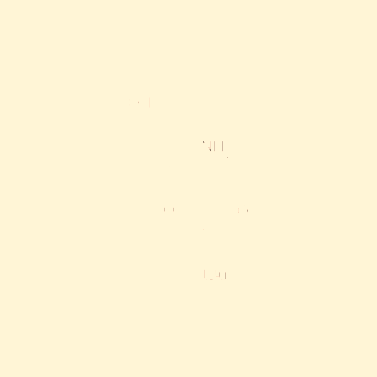 CC(C)(C)C(=O)OC(N)CO